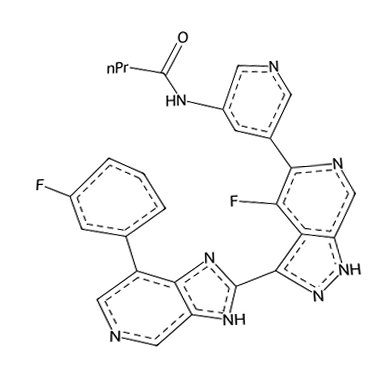 CCCC(=O)Nc1cncc(-c2ncc3[nH]nc(-c4nc5c(-c6cccc(F)c6)cncc5[nH]4)c3c2F)c1